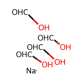 O=CO.O=CO.O=CO.O=CO.[Na]